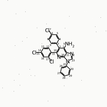 Nc1c(-c2ccc(Cl)cc2)c(-c2ccc(Cl)cc2Cl)nc2c1ncn2-c1ccccc1